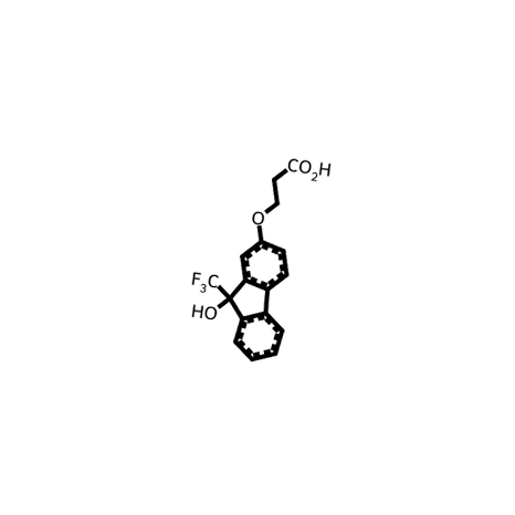 O=C(O)CCOc1ccc2c(c1)C(O)(C(F)(F)F)c1ccccc1-2